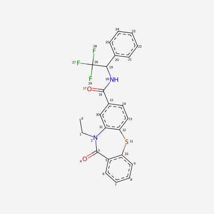 CCN1C(=O)c2ccccc2Sc2ccc(C(=O)NC(c3ccccc3)C(F)(F)F)cc21